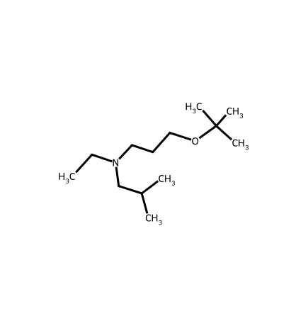 CCN(CCCOC(C)(C)C)CC(C)C